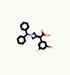 O=C(O)C(=C1CN(C(c2ccccc2)c2ccccc2)C1)c1cc(F)cc(Br)c1